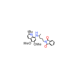 COc1cc(NC(C)CCCN2C(=O)c3ccccc3C2=O)c2nc(C(C)(C)C)ccc2c1OC